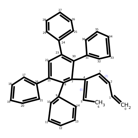 C=C/C=C\C(=C/C)c1c(-c2ccccc2)c(-c2ccccc2)cc(-c2ccccc2)c1-c1ccccc1